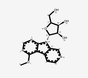 COc1ncnc2c1c1ccncc1n2[C@@H]1OC(CO)[C@@H](O)[C@H]1O